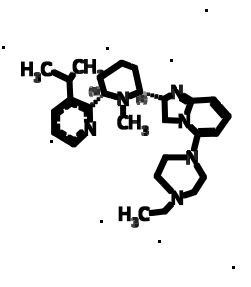 CCN1CCN(C2=CC=CC3=NC([C@H]4CCC[C@@H](c5ncccc5C(C)C)N4C)CN23)CC1